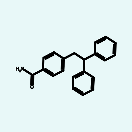 NC(=O)c1ccc(CC(c2ccccc2)c2ccccc2)cc1